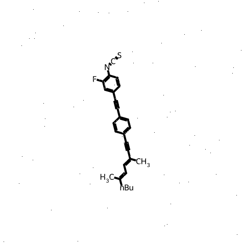 CCCC/C(C)=C/C=C(\C)C#Cc1ccc(C#Cc2ccc(N=C=S)c(F)c2)cc1